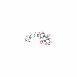 CC(CC#N)CCCC(C)(C)c1ccc2c(c1)C(=O)c1ccccc1C2=O